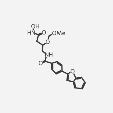 COCOC(CNC(=O)c1ccc(-c2cc3ccccc3o2)cc1)CC(=O)NO